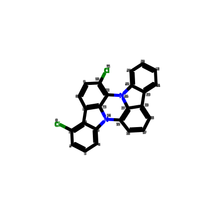 Clc1cccc2c1c1ccc(Cl)c3c1n2c1cccc2c4ccccc4n3c21